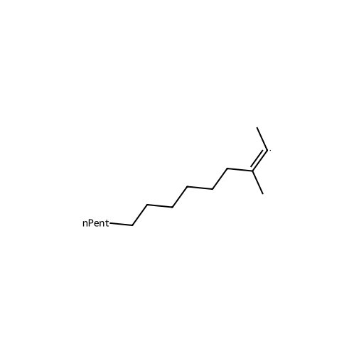 C/[C]=C(/C)CCCCCCCCCCC